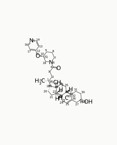 C[C@H](CCC(=O)N1CCC[C@H](Oc2ccncc2)C1)[C@H]1CC[C@H]2[C@@H]3CC=C4C[C@@H](O)CC[C@]4(C)[C@H]3CC[C@]12C